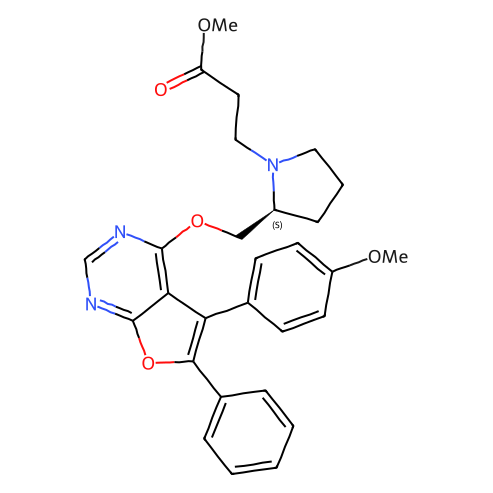 COC(=O)CCN1CCC[C@H]1COc1ncnc2oc(-c3ccccc3)c(-c3ccc(OC)cc3)c12